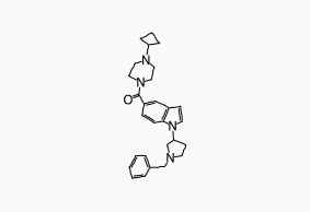 O=C(c1ccc2c(ccn2C2CCN(Cc3ccccc3)C2)c1)N1CCN(C2CCC2)CC1